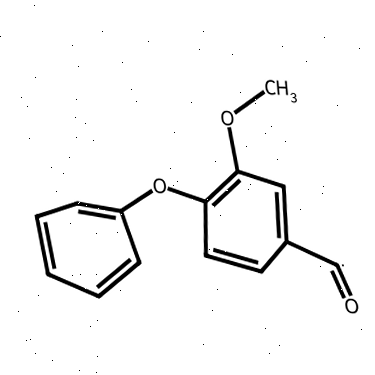 COc1cc([C]=O)ccc1Oc1ccccc1